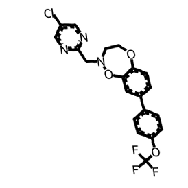 FC(F)(F)Oc1ccc(-c2ccc3c(c2)ON(Cc2ncc(Cl)cn2)CCO3)cc1